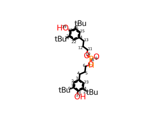 CC(C)(C)c1cc(CCCO[PH](=O)OCCCc2cc(C(C)(C)C)c(O)c(C(C)(C)C)c2)cc(C(C)(C)C)c1O